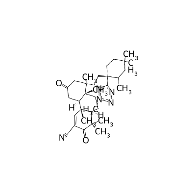 CC1CC(C)(C)CC[C@@]1(CC[C@]1(C)CC(=O)C[C@@H]2[C@@]3(C)C=C(C#N)C(=O)C(C)(C)[C@@H]3CC[C@]21C)c1nnn(C)n1